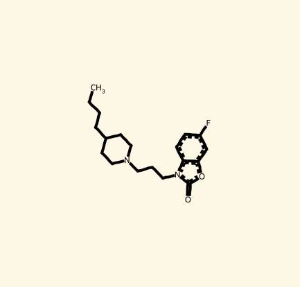 CCCCC1CCN(CCCn2c(=O)oc3cc(F)ccc32)CC1